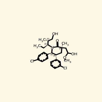 CC[C@@H]([C@H](C)CO)N1C(=O)[C@@](C)(CC(O)OC)C[C@H](c2cccc(Cl)c2)[C@H]1c1ccc(Cl)cc1